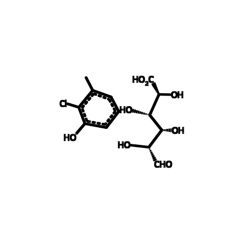 Cc1cccc(O)c1Cl.O=C[C@H](O)[C@@H](O)[C@H](O)[C@H](O)C(=O)O